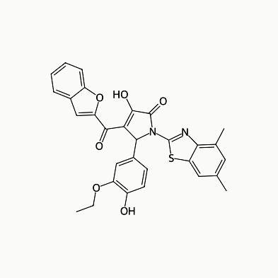 CCOc1cc(C2C(C(=O)c3cc4ccccc4o3)=C(O)C(=O)N2c2nc3c(C)cc(C)cc3s2)ccc1O